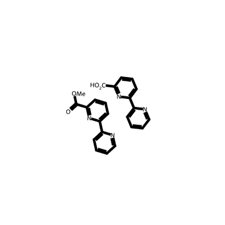 COC(=O)c1cccc(-c2ccccn2)n1.O=C(O)c1cccc(-c2ccccn2)n1